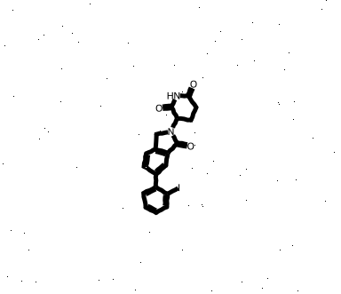 O=C1CCC(N2Cc3ccc(-c4ccccc4I)cc3C2=O)C(=O)N1